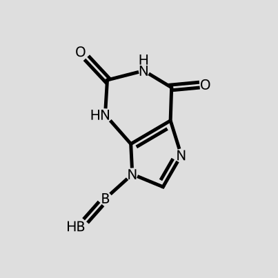 B=Bn1cnc2c(=O)[nH]c(=O)[nH]c21